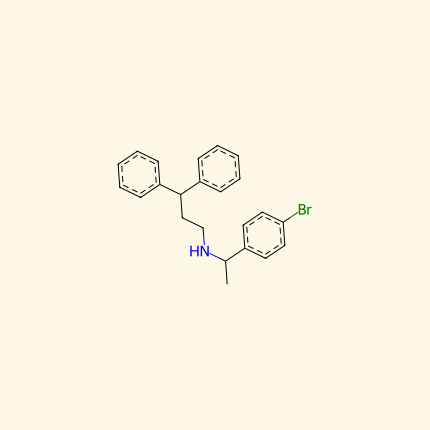 CC(NCCC(c1ccccc1)c1ccccc1)c1ccc(Br)cc1